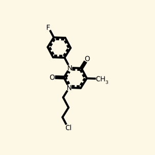 Cc1cn(CCCCl)c(=O)n(-c2ccc(F)cc2)c1=O